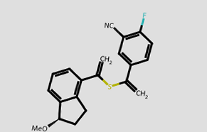 C=C(SC(=C)c1cccc2c1CC[C@H]2OC)c1ccc(F)c(C#N)c1